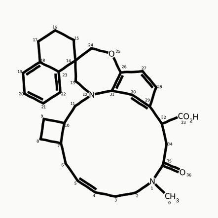 CN1CCC=CCC2CCC2CN2CC3(CCCc4ccccc43)COc3ccc(cc32)C(C(=O)O)CC1=O